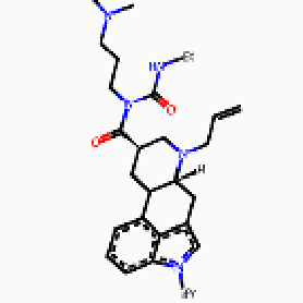 C=CCN1C[C@H](C(=O)N(CCCN(C)C)C(=O)NCC)CC2c3cccc4c3c(cn4C(C)C)C[C@H]21